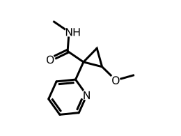 CNC(=O)C1(c2ccccn2)CC1OC